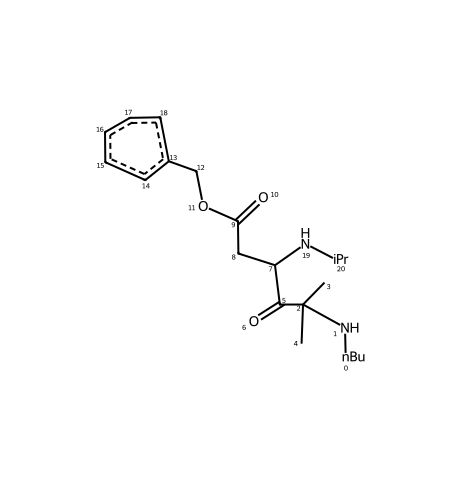 CCCCNC(C)(C)C(=O)C(CC(=O)OCc1ccccc1)NC(C)C